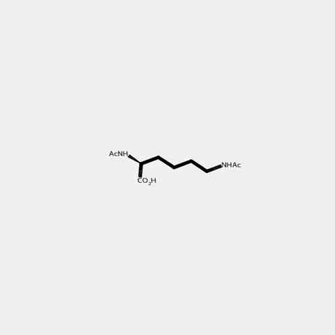 CC(=O)NCCCC[C@H](NC(C)=O)C(=O)O